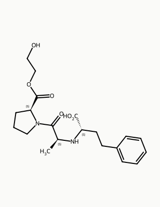 C[C@H](N[C@@H](CCc1ccccc1)C(=O)O)C(=O)N1CCC[C@H]1C(=O)OCCO